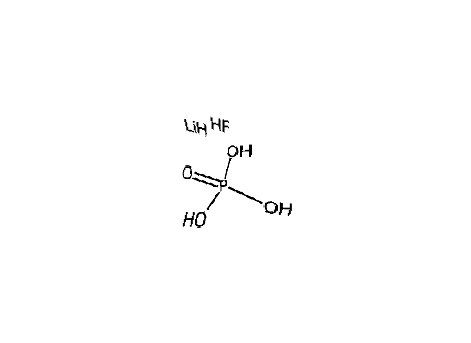 F.O=P(O)(O)O.[LiH]